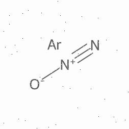 N#[N+][O-].[Ar]